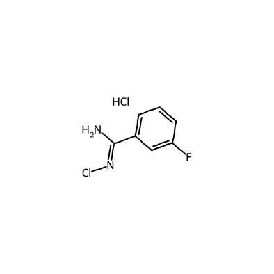 Cl.NC(=NCl)c1cccc(F)c1